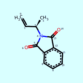 C=C[C@@H](C)N1C(=O)c2ccccc2C1=O